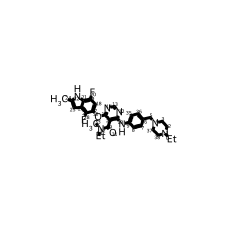 CCN1CCN(Cc2ccc(Nc3ncnc(Oc4cc(F)c5[nH]c(C)cc5c4F)c3C(=O)N(C)CC)cc2)CC1